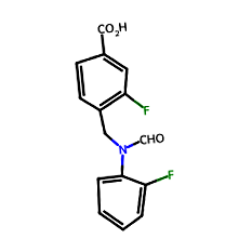 O=CN(Cc1ccc(C(=O)O)cc1F)c1ccccc1F